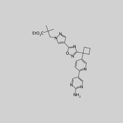 CCOC(=O)C(C)(C)Cn1cc(-c2nc(C3(c4ccc(-c5cnc(N)nc5)nc4)CCC3)no2)cn1